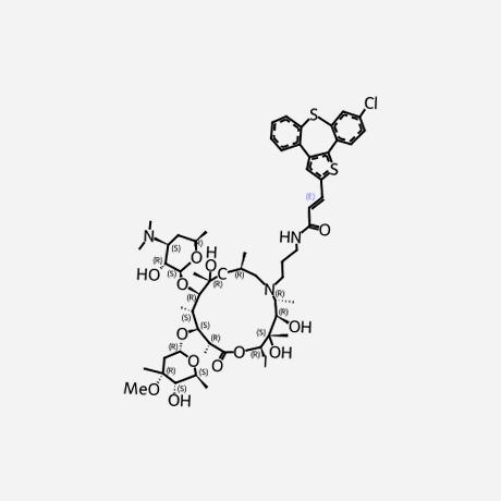 CO[C@]1(C)C[C@H](O[C@H]2[C@H](C)[C@@H](O[C@@H]3O[C@H](C)C[C@H](N(C)C)[C@H]3O)[C@](C)(O)C[C@@H](C)CN(CCCNC(=O)/C=C/c3cc4c(s3)-c3ccc(Cl)cc3Sc3ccccc3-4)[C@H](C)[C@@H](O)[C@](C)(O)[C@@H](I)OC(=O)[C@@H]2C)O[C@@H](C)[C@@H]1O